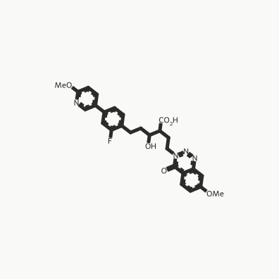 COc1ccc2c(=O)n(CCC(C(=O)O)C(O)CCc3ccc(-c4ccc(OC)nc4)cc3F)nnc2c1